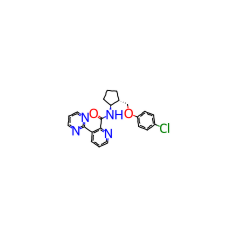 O=C(N[C@H]1CCC[C@@H]1COc1ccc(Cl)cc1)c1ncccc1-c1ncccn1